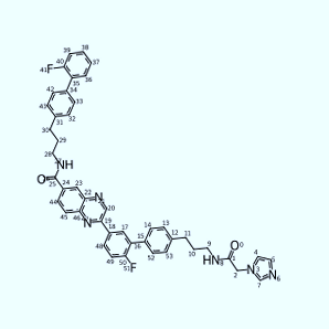 O=C(Cn1ccnc1)NCCCc1ccc(-c2cc(-c3cnc4cc(C(=O)NCCCc5ccc(-c6ccccc6F)cc5)ccc4n3)ccc2F)cc1